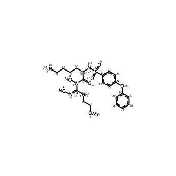 COCCN/C(=N/C#N)N(O)C(=O)[C@@H](CCCCN)NS(=O)(=O)c1ccc(Oc2ccccc2)cc1